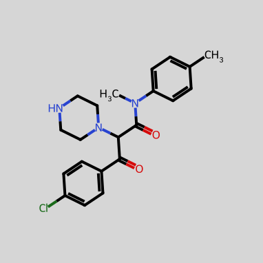 Cc1ccc(N(C)C(=O)C(C(=O)c2ccc(Cl)cc2)N2CCNCC2)cc1